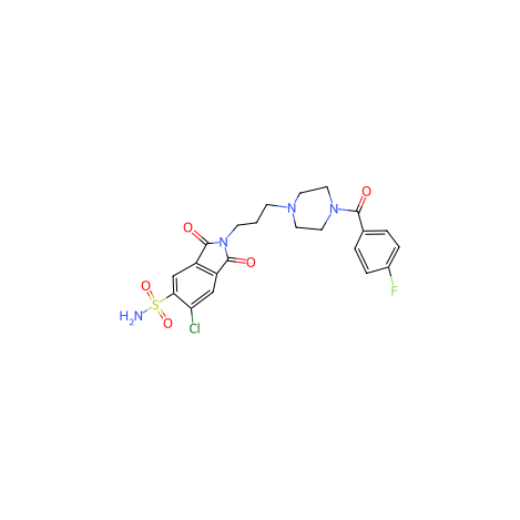 NS(=O)(=O)c1cc2c(cc1Cl)C(=O)N(CCCN1CCN(C(=O)c3ccc(F)cc3)CC1)C2=O